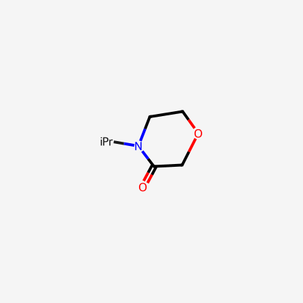 CC(C)N1CCOCC1=O